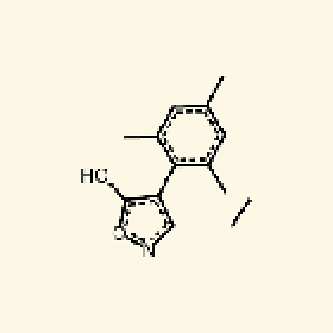 CC.Cc1cc(C)c(-c2cnoc2O)c(C)c1